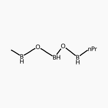 CBOBOBCCC